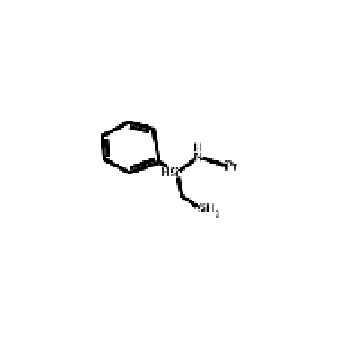 CC(C)N[SiH](C[SiH3])c1ccccc1